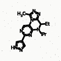 CCC1c2nnc(C)n2-c2cnc(-c3cn[nH]c3)nc2N1C(C)C